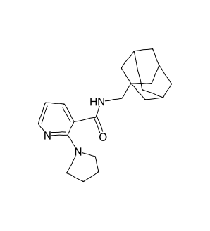 O=C(NCC12CC3CC(CC(C3)C1)C2)c1cccnc1N1CCCC1